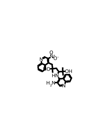 CC(O)(Cc1c([N+](=O)[O-])cnc2ccccc12)CC(Nc1c(N)cnc2ccccc12)C(C)(C)O